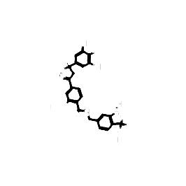 Cc1cc(C2=NO[C@@](c3cc(Cl)c(Cl)c(Cl)c3)(C(F)(F)F)C2)ccc1C(=O)NCc1ccc2c(c1)B(O)OC2(C)C